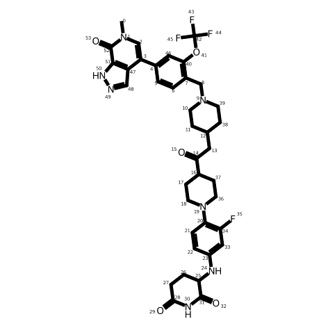 Cn1cc(-c2ccc(CN3CCC(CC(=O)C4CCN(c5ccc(NC6CCC(=O)NC6=O)cc5F)CC4)CC3)c(OC(F)(F)F)c2)c2cn[nH]c2c1=O